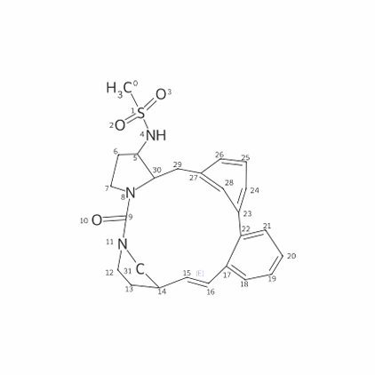 CS(=O)(=O)NC1CCN2C(=O)N3CCC(/C=C/c4ccccc4-c4cccc(c4)CC12)C3